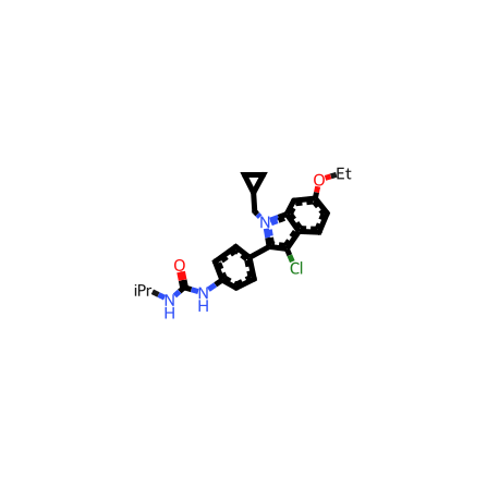 CCOc1ccc2c(Cl)c(-c3ccc(NC(=O)NC(C)C)cc3)n(CC3CC3)c2c1